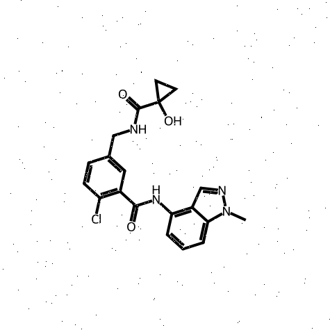 Cn1ncc2c(NC(=O)c3cc(CNC(=O)C4(O)CC4)ccc3Cl)cccc21